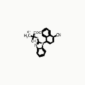 CC(C)(Sc1nc2ccccc2n1-c1ccc(C#N)c2ccccc12)C(=O)[O-].[K+]